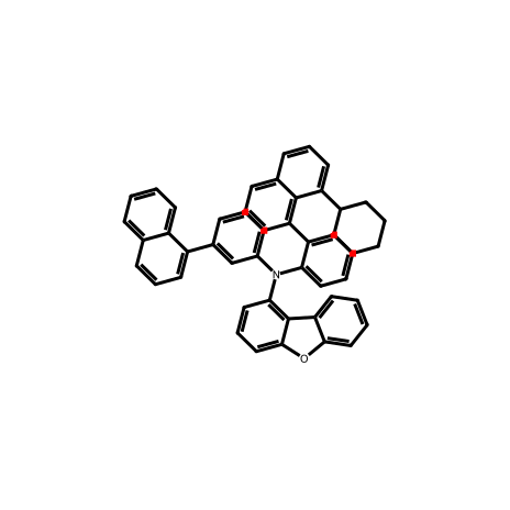 c1cc(-c2cccc3ccccc23)cc(N(c2ccccc2-c2cccc3cccc(C4CCCCC4)c23)c2cccc3oc4ccccc4c23)c1